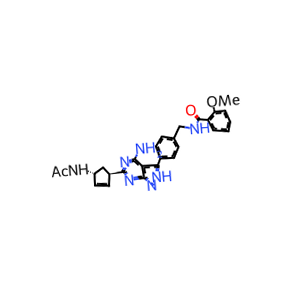 COc1ccccc1C(=O)NCc1ccc(-c2[nH]nc3nc([C@H]4C=C[C@H](NC(C)=O)C4)nc(N)c23)cc1